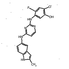 Cc1cc2cc(Nc3ccnc(Nc4cc(O)c(Cl)cc4F)n3)ccc2[nH]1